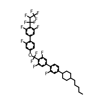 CCCCCC1CCC(c2ccc(-c3cc(F)c(C(F)(F)Oc4ccc(-c5cc(F)c(C(F)(F)C(F)C(F)(F)F)c(F)c5)c(F)c4)c(F)c3)c(F)c2)CC1